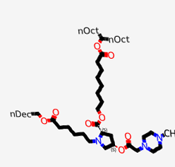 CCCCCCCCCCCOC(=O)CCCCCN1C[C@@H](OC(=O)CN2CCN(C)CC2)C[C@H]1C(=O)OCCCCCCCC(=O)OC(CCCCCCCC)CCCCCCCC